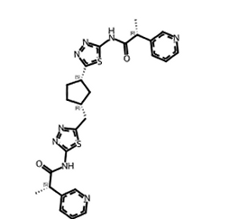 C[C@H](C(=O)Nc1nnc(C[C@@H]2CC[C@H](c3nnc(NC(=O)[C@H](C)c4cccnc4)s3)C2)s1)c1cccnc1